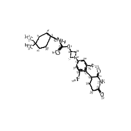 CC1(C)CCC(NC(=O)OC2CN(c3cc(F)c(C4CCC(=O)NC4=O)c(F)c3)C2)CC1